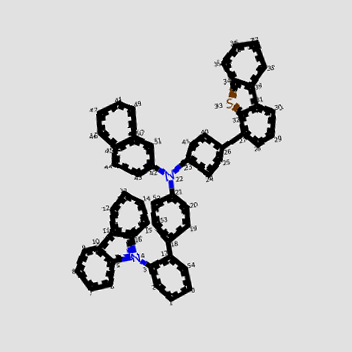 c1ccc(-n2c3ccccc3c3ccccc32)c(-c2ccc(N(c3ccc(-c4cccc5c4sc4ccccc45)cc3)c3ccc4ccccc4c3)cc2)c1